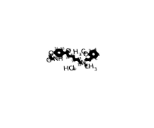 COc1ccccc1CCN(C)CCCCCC(=O)c1ccc2c(c1)NC(=O)CO2.Cl